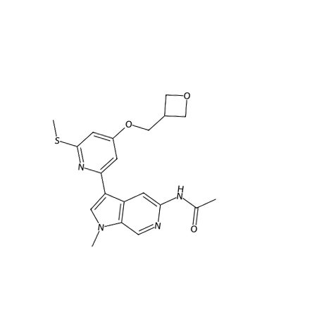 CSc1cc(OCC2COC2)cc(-c2cn(C)c3cnc(NC(C)=O)cc23)n1